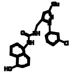 CC(C)(C)c1cc(CNC(=O)Nc2cccc3c(O)cccc23)n(-c2cccc(Cl)c2)n1